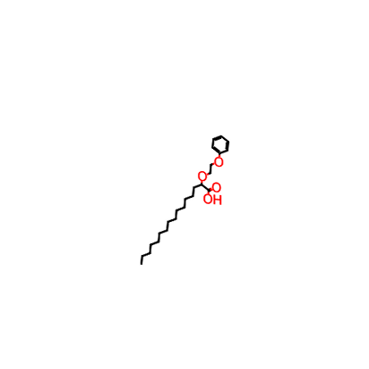 CCCCCCCCCCCCCCC(OCCOc1ccccc1)C(=O)O